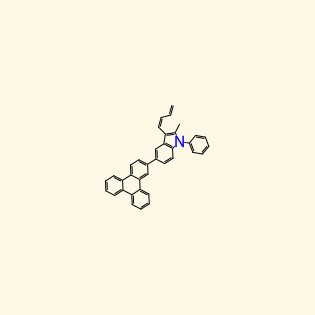 C=C/C=C\c1c(C)n(-c2ccccc2)c2ccc(-c3ccc4c5ccccc5c5ccccc5c4c3)cc12